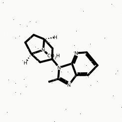 Cc1nc2cccnc2n1C1C[C@H]2CC[C@@H](C1)N2C(=O)O